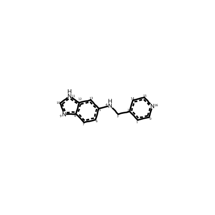 c1cc(CNc2ccc3nc[nH]c3c2)ccn1